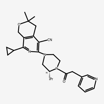 CC(C)[C@@H]1CN(c2nc(C3CC3)c3c(c2C#N)CC(C)(C)OC3)CCN1C(=O)Cc1cccnc1